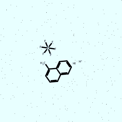 Cc1cccc2ccccc12.F[P-](F)(F)(F)(F)F.I.[H+]